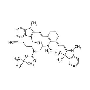 C#CCCCN(CCN(C)C1=C(/C=C/C2=[N+](CC)c3ccccc3C2C)CCC/C1=C\C=C1\N(C)c2ccccc2C1(C)C)C(=O)OC(C)(C)C